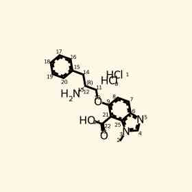 Cl.Cl.Cn1cnc2ccc(OC[C@H](N)Cc3ccccc3)c(C(=O)O)c21